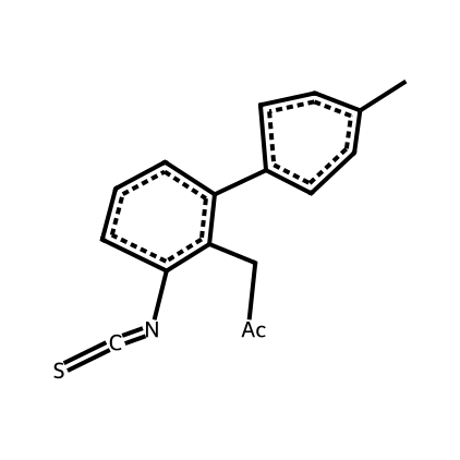 CC(=O)Cc1c(N=C=S)cccc1-c1ccc(C)cc1